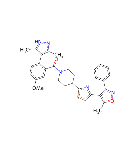 COc1ccc(-c2c(C)n[nH]c2C)c(C(=O)N2CCC(c3nc(-c4c(-c5ccccc5)noc4C)cs3)CC2)c1